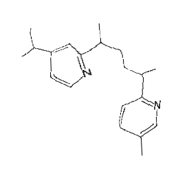 Cc1ccc(C(C)CCC(C)c2cc(C(C)C)ccn2)nc1